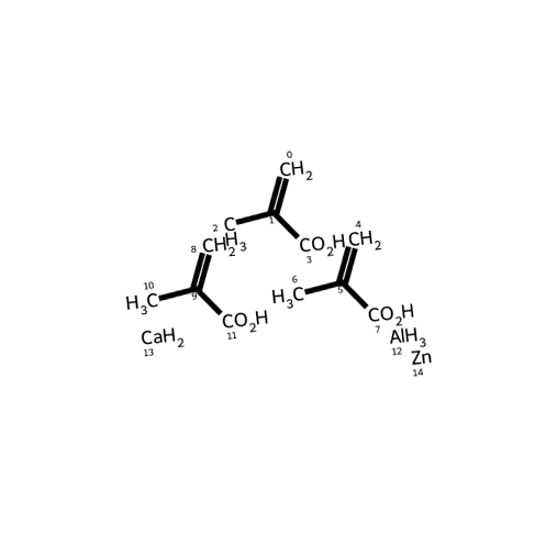 C=C(C)C(=O)O.C=C(C)C(=O)O.C=C(C)C(=O)O.[AlH3].[CaH2].[Zn]